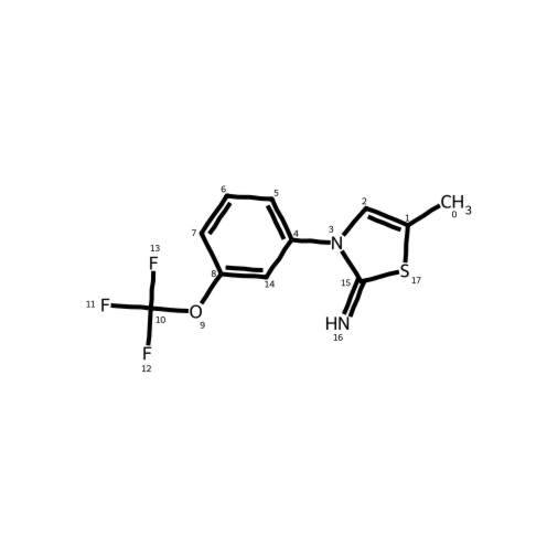 Cc1cn(-c2cccc(OC(F)(F)F)c2)c(=N)s1